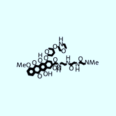 CNCC(=O)NCC(=O)NCCNC(=O)[C@]1(O)Cc2c(O)c3c(c(O)c2[C@@H](O[C@H]2CC[C@H](O[C@@H]4COCCN4)CO2)C1)C(=O)c1c(OC)cccc1C3=O